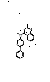 Cc1cc(N(C)c2ccc(-c3ccccc3)cc2)c2ccccc2n1